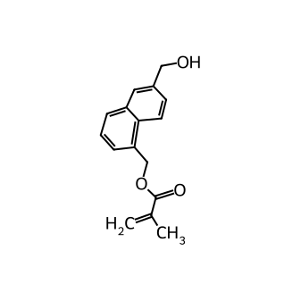 C=C(C)C(=O)OCc1cccc2cc(CO)ccc12